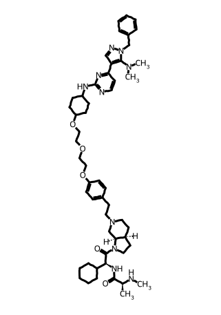 CN[C@@H](C)C(=O)N[C@H](C(=O)N1CC[C@@H]2CCN(CCc3ccc(OCCOCCOC4CCC(Nc5nccc(-c6cnn(Cc7ccccc7)c6N(C)C)n5)CC4)cc3)C[C@@H]21)C1CCCCC1